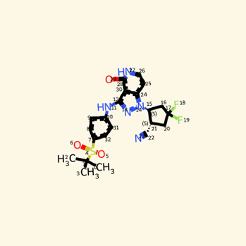 CC(C)(C)S(=O)(=O)c1ccc(Nc2nn([C@H]3CC(F)(F)C[C@@H]3C#N)c3cc[nH]c(=O)c23)cc1